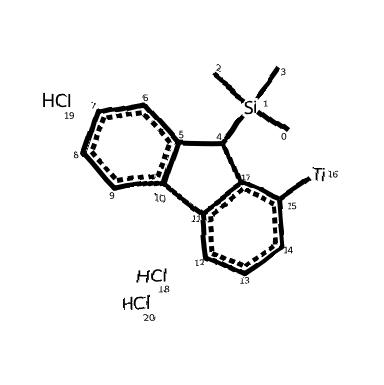 C[Si](C)(C)C1c2ccccc2-c2ccc[c]([Ti])c21.Cl.Cl.Cl